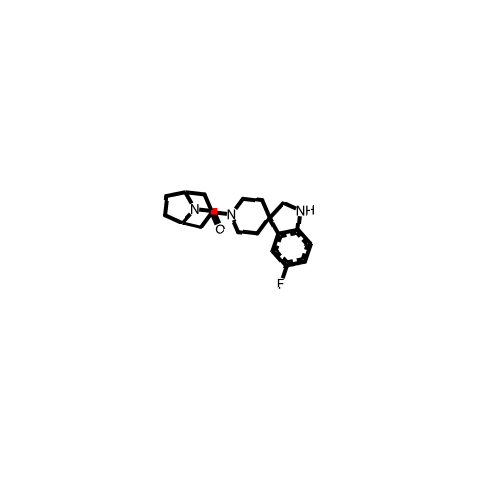 O=CN1C2CCC1CC(N1CCC3(CC1)CNc1ccc(F)cc13)C2